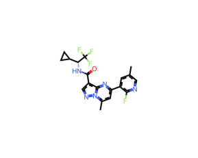 Cc1cnc(F)c(-c2cc(C)n3ncc(C(=O)N[C@H](C4CC4)C(F)(F)F)c3n2)c1